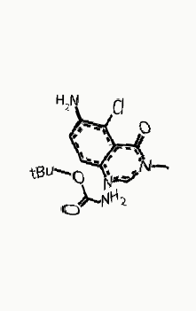 CC(C)(C)OC(N)=O.Cn1cnc2ccc(N)c(Cl)c2c1=O